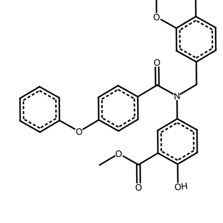 COC(=O)c1cc(N(Cc2ccc(OC)c(OC)c2)C(=O)c2ccc(Oc3ccccc3)cc2)ccc1O